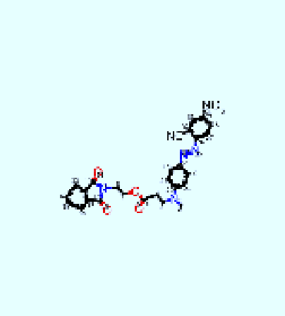 CN(CCC(=O)OCCN1C(=O)c2ccccc2C1=O)c1ccc(/N=N/c2ccc([N+](=O)[O-])cc2C#N)cc1